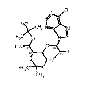 C[C@@H](F)[C@@H](OC1COC(C)(C)O[C@H]1[C@@H](C)OC(C)(C)O)n1cnc2c(Cl)ncnc21